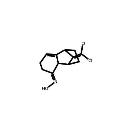 O/N=C1\CCC=C2C3CCC(C3=C(Cl)Cl)C21